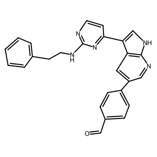 O=Cc1ccc(-c2cnc3[nH]cc(-c4ccnc(NCCc5ccccc5)n4)c3c2)cc1